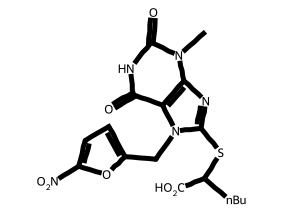 CCCCC(Sc1nc2c(c(=O)[nH]c(=O)n2C)n1Cc1ccc([N+](=O)[O-])o1)C(=O)O